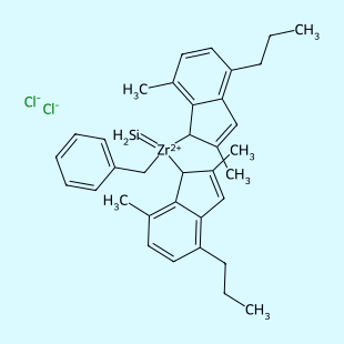 CCCc1ccc(C)c2c1C=C(C)[CH]2[Zr+2](=[SiH2])([CH2]c1ccccc1)[CH]1C(C)=Cc2c(CCC)ccc(C)c21.[Cl-].[Cl-]